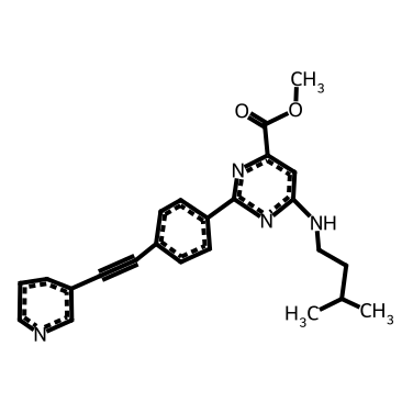 COC(=O)c1cc(NCCC(C)C)nc(-c2ccc(C#Cc3cccnc3)cc2)n1